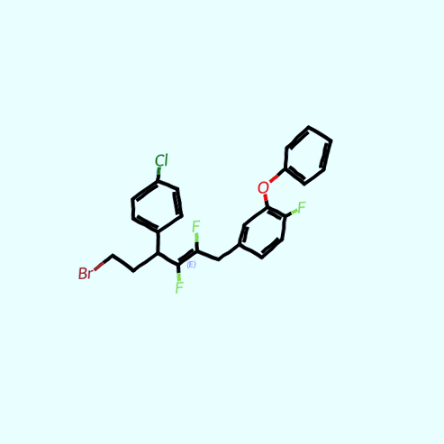 F/C(Cc1ccc(F)c(Oc2ccccc2)c1)=C(/F)C(CCBr)c1ccc(Cl)cc1